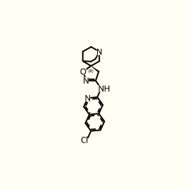 Clc1ccc2cc(NC3=NO[C@@]4(C3)CN3CCC4CC3)ncc2c1